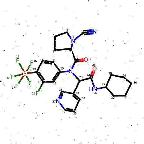 N#CN1CCC[C@@H]1C(=O)N(c1ccc(S(F)(F)(F)(F)F)c(F)c1)C(C(=O)NC1CCCCC1)c1cccnc1